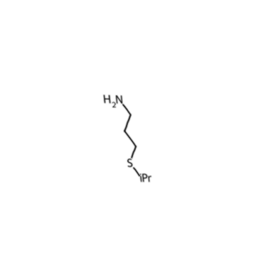 CC(C)SCCCN